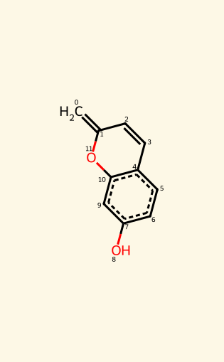 C=C1C=Cc2ccc(O)cc2O1